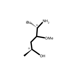 CCC(C)[C@H](N)C(C[C@H](C)O)OC